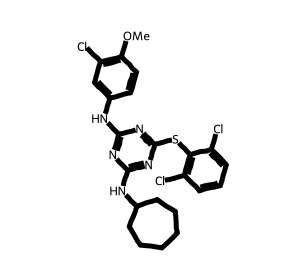 COc1ccc(Nc2nc(NC3CCCCCC3)nc(Sc3c(Cl)cccc3Cl)n2)cc1Cl